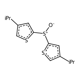 CC(C)c1csc([S+]([O-])c2cc(C(C)C)cs2)c1